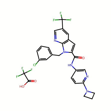 O=C(Nc1ccc(N2CCC2)nc1)c1cc2cc(C(F)(F)F)cnc2n1Cc1cccc(Cl)c1.O=C(O)C(F)(F)F